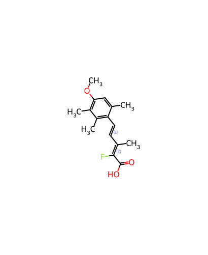 COc1cc(C)c(/C=C/C(C)=C(\F)C(=O)O)c(C)c1C